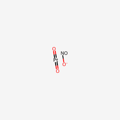 O=[NH+][O-].[O]=[Pt]=[O]